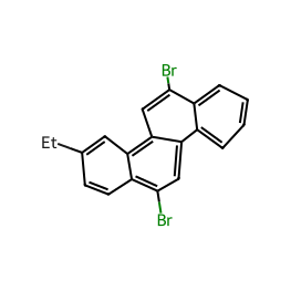 CCc1ccc2c(Br)cc3c4ccccc4c(Br)cc3c2c1